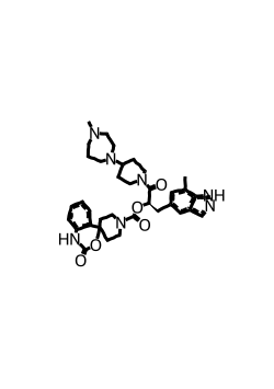 Cc1cc(C[C@@H](OC(=O)N2CCC3(CC2)OC(=O)Nc2ccccc23)C(=O)N2CCC(N3CCCN(C)CC3)CC2)cc2cn[nH]c12